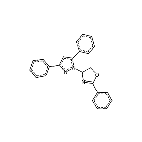 c1ccc(C2=NC(n3nc(-c4ccccc4)cc3-c3ccccc3)CO2)cc1